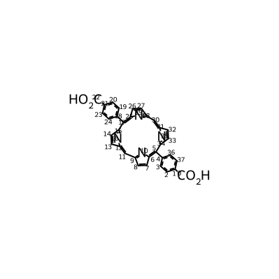 O=C(O)c1ccc(C2=C3C=CC(=N3)C=C3C=CC(=N3)C(c3ccc(C(=O)O)cc3)=C3C=CC(=N3)C=C3C=CC2=N3)cc1